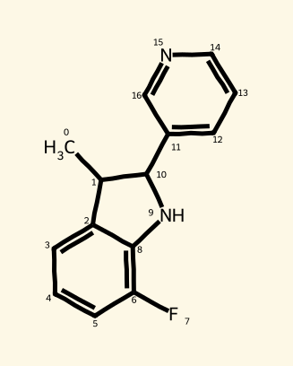 CC1c2cccc(F)c2NC1c1cccnc1